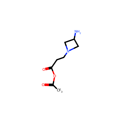 NC1CN(CCC(=O)OC(=O)C(F)(F)F)C1